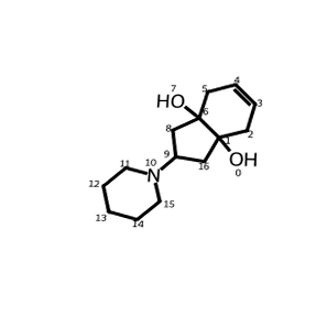 OC12CC=CCC1(O)CC(N1CCCCC1)C2